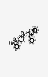 C[C@@H](COC(=O)N1CCCC(n2c(=O)[nH]c3ccccc32)CC1)N(Cc1ccccc1)Cc1ccccc1